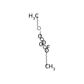 CCCCCCCCCCOc1ccc(C(=O)Oc2ccc(OCCC[C@H]3CC[C@H](CCCCCCC)CC3)cc2)cc1F